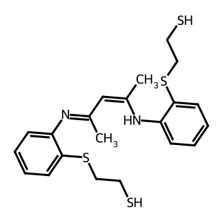 C/C(=C/C(C)=N/c1ccccc1SCCS)Nc1ccccc1SCCS